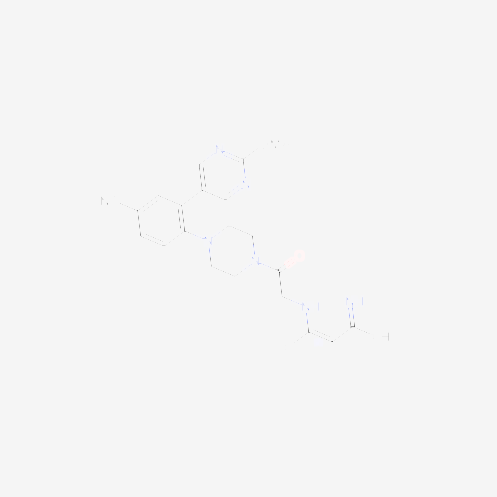 COc1ncc(-c2cc(C#N)ccc2N2CCN(C(=O)CN/C(C)=C\C(C)=N)CC2)cn1